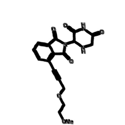 COCCOCC#Cc1cccc2c1C(=O)N(C1NCC(=O)NC1=O)C2=O